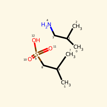 CC(C)CN.CC(C)CS(=O)(=O)O